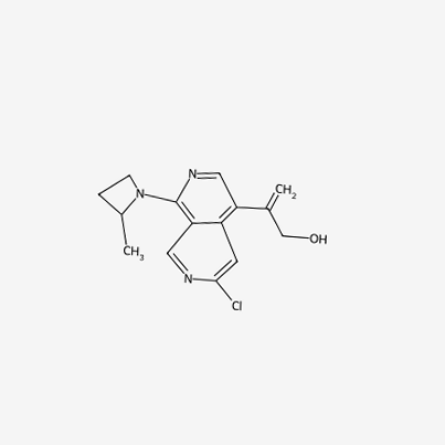 C=C(CO)c1cnc(N2CCC2C)c2cnc(Cl)cc12